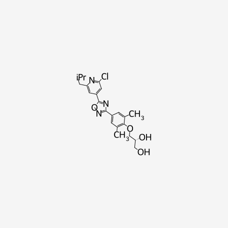 Cc1cc(-c2noc(-c3cc(Cl)nc(CC(C)C)c3)n2)cc(C)c1OC[C@H](O)CO